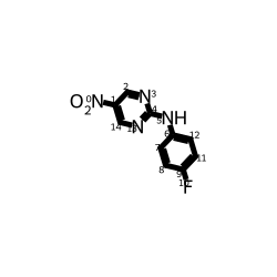 O=[N+]([O-])c1cnc(Nc2ccc(F)cc2)nc1